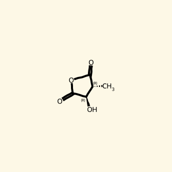 C[C@H]1C(=O)OC(=O)[C@@H]1O